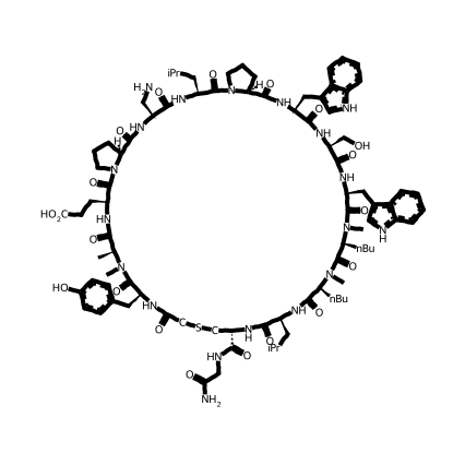 CCCC[C@H]1C(=O)N(C)[C@@H](CCCC)C(=O)N[C@@H](CC(C)C)C(=O)N[C@H](C(=O)NCC(N)=O)CSCC(=O)N[C@@H](Cc2ccc(O)cc2)C(=O)N(C)[C@@H](C)C(=O)N[C@@H](CCC(=O)O)C(=O)N2CCC[C@H]2C(=O)N[C@@H](CN)C(=O)N[C@@H](CC(C)C)C(=O)N2CCC[C@H]2C(=O)N[C@@H](Cc2c[nH]c3ccccc23)C(=O)N[C@@H](CO)C(=O)N[C@@H](Cc2c[nH]c3ccccc23)C(=O)N1C